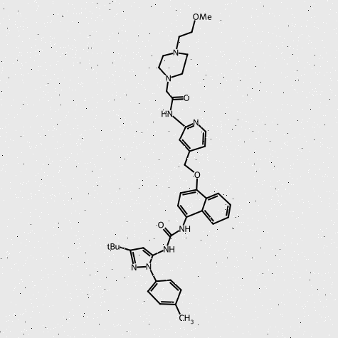 COCCN1CCN(CC(=O)Nc2cc(COc3ccc(NC(=O)Nc4cc(C(C)(C)C)nn4-c4ccc(C)cc4)c4ccccc34)ccn2)CC1